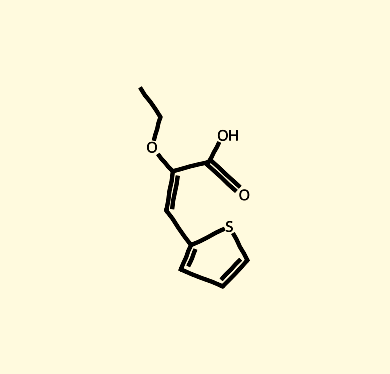 CCO/C(=C/c1cccs1)C(=O)O